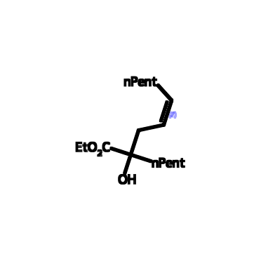 CCCCC/C=C\CC(O)(CCCCC)C(=O)OCC